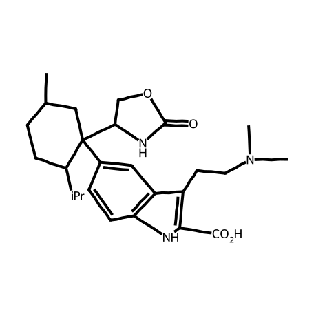 CC1CCC(C(C)C)C(c2ccc3[nH]c(C(=O)O)c(CCN(C)C)c3c2)(C2COC(=O)N2)C1